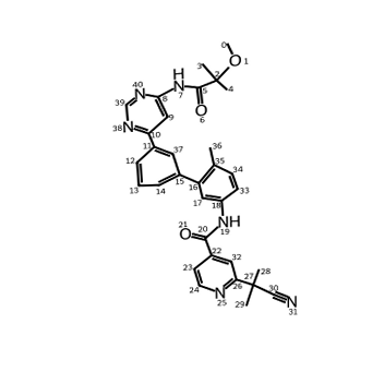 COC(C)(C)C(=O)Nc1cc(-c2cccc(-c3cc(NC(=O)c4ccnc(C(C)(C)C#N)c4)ccc3C)c2)ncn1